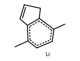 Cc1ccc(C)c2c1C=CC2.[Li]